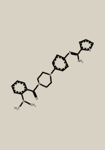 CN(C)c1ccccc1C(=O)N1CCN(c2ccc(N=C(N)c3cccs3)cc2)CC1